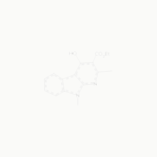 CCOC(=O)c1c(C)nc2c(c1O)c1ccccc1n2C